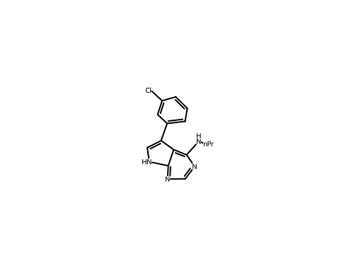 CCCNc1ncnc2[nH]cc(-c3cccc(Cl)c3)c12